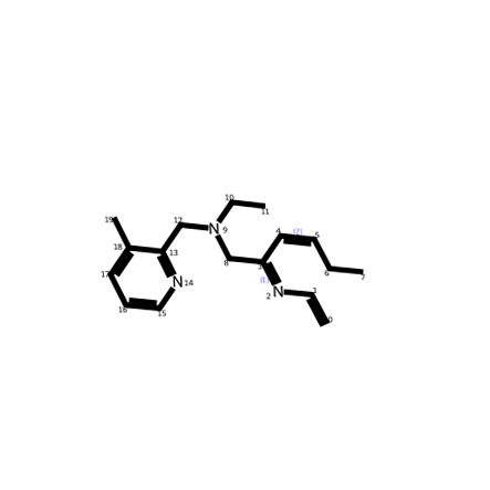 C=C/N=C(\C=C/CC)CN(CC)Cc1ncccc1C